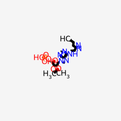 C#CCCC1(CCNc2ncnc3c2ncn3[C@H]2O[C@@H](COP(=O)(O)O)C3OC(C)(C)OC32)N=N1